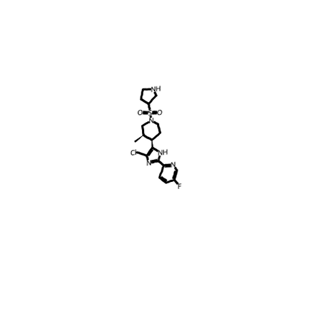 C[C@H]1CN(S(=O)(=O)C2CCNC2)CC[C@H]1c1[nH]c(-c2ccc(F)cn2)nc1Cl